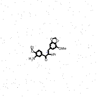 CCC/C(=C\c1cc(OC)c2c(c1)OCO2)C(=O)c1ccc(OCC)c(N)c1